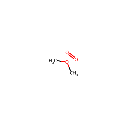 COC.O=O